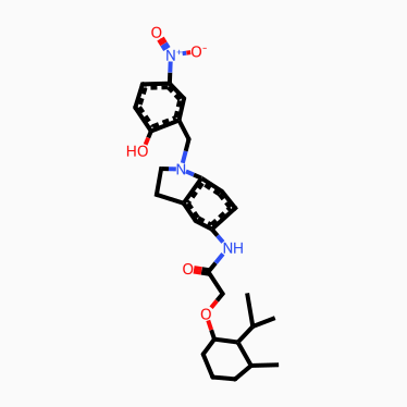 CC(C)C1C(C)CCCC1OCC(=O)Nc1ccc2c(c1)CCN2Cc1cc([N+](=O)[O-])ccc1O